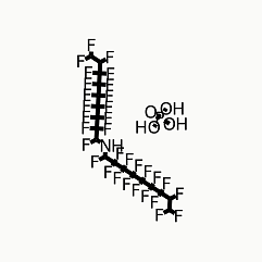 FC(F)C(F)C(F)(F)C(F)(F)C(F)(F)C(F)(F)C(F)(F)C(F)(F)C(F)NC(F)C(F)(F)C(F)(F)C(F)(F)C(F)(F)C(F)(F)C(F)(F)C(F)C(F)F.O=P(O)(O)O